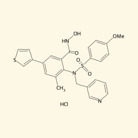 COc1ccc(S(=O)(=O)N(Cc2cccnc2)c2c(C)cc(-c3ccsc3)cc2C(=O)NO)cc1.Cl